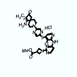 COC(=O)C1CN(c2nccc(Nc3nccc(Sc4cnc(N5CCC6(CC5)CC(=O)[C@@H](C)[C@@H]6N)cn4)c3Cl)n2)C1.Cl